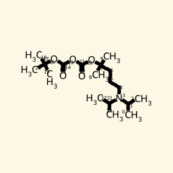 CC(C)N(CCCC(C)(C)OC(=O)OC(=O)OC(C)(C)C)C(C)C